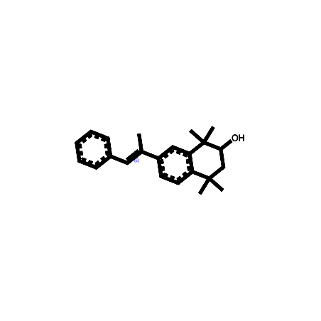 C/C(=C\c1ccccc1)c1ccc2c(c1)C(C)(C)C(O)CC2(C)C